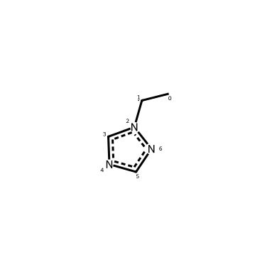 C[CH]n1cncn1